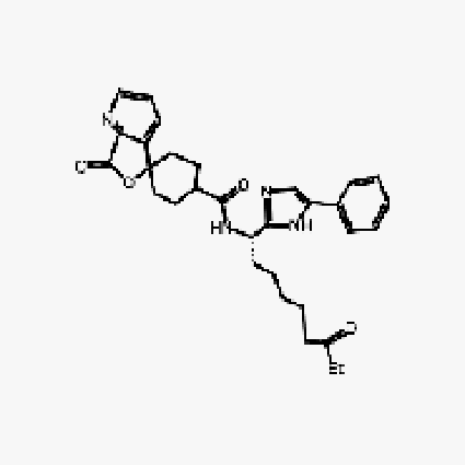 CCC(=O)CCCCC[C@H](NC(=O)C1CCC2(CC1)OC(=O)c1ncccc12)c1ncc(-c2ccccc2)[nH]1